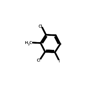 Cc1c(Cl)c[c]c(I)c1Cl